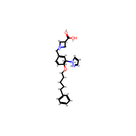 O=C(O)C1CN(Cc2ccc(OCCCCCc3ccccc3)c(-n3cccn3)c2)C1